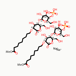 COC(=O)CCCCCCCCO[C@@H]1[C@@H](O)[C@H](O[C@@H]2O[C@H](CO)[C@H](OP(=O)(O)O)[C@H](O)[C@H]2O)[C@@H](CO)O[C@H]1[O-].COC(=O)CCCCCCCCO[C@@H]1[C@@H](O)[C@H](O[C@@H]2O[C@H](CO)[C@H](OP(=O)(O)O)[C@H](O)[C@H]2O)[C@@H](CO)O[C@H]1[O-].[Na+].[Na+]